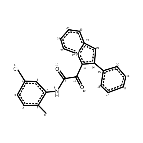 Cc1ccc(Cl)cc1NC(=O)C(=O)c1c(-c2ccccc2)cc2ccccn12